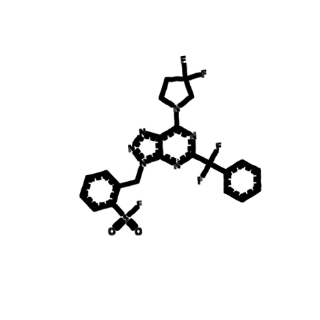 O=S(=O)(F)c1ccccc1Cn1nnc2c(N3CCC(F)(F)C3)nc(C(F)(F)c3ccccc3)nc21